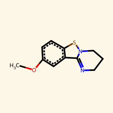 COc1ccc2c(c1)C1=NCCCN1S2